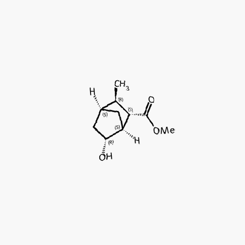 COC(=O)[C@H]1[C@H](C)[C@H]2C[C@@H]1[C@H](O)C2